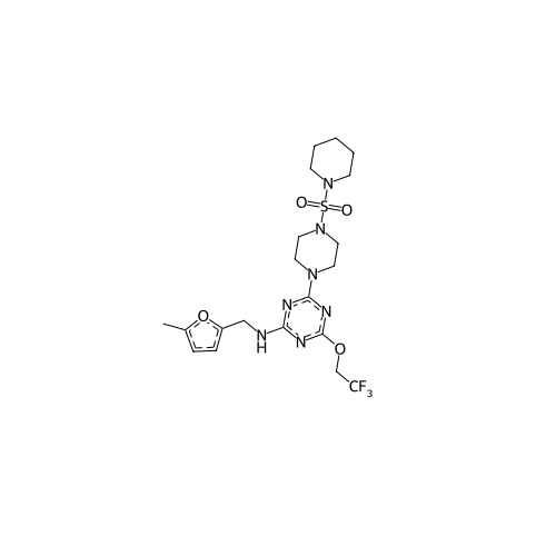 Cc1ccc(CNc2nc(OCC(F)(F)F)nc(N3CCN(S(=O)(=O)N4CCCCC4)CC3)n2)o1